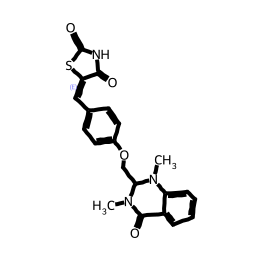 CN1C(=O)c2ccccc2N(C)C1COc1ccc(/C=C2/SC(=O)NC2=O)cc1